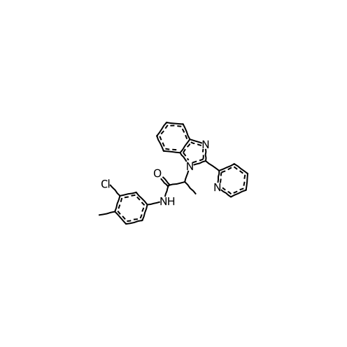 Cc1ccc(NC(=O)C(C)n2c(-c3ccccn3)nc3ccccc32)cc1Cl